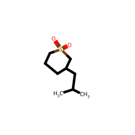 CC(C)CC1CCCS(=O)(=O)C1